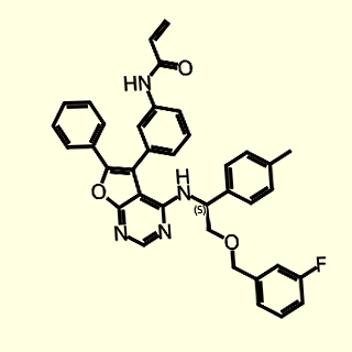 C=CC(=O)Nc1cccc(-c2c(-c3ccccc3)oc3ncnc(N[C@H](COCc4cccc(F)c4)c4ccc(C)cc4)c23)c1